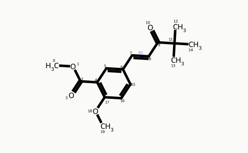 COC(=O)c1cc(/C=C/C(=O)C(C)(C)C)ccc1OC